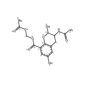 CCCC(=O)NC1Cc2cc(O)cc(C(=O)OCOC(=O)C(C)(C)C)c2OB1O